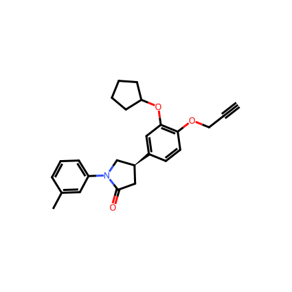 C#CCOc1ccc([C@H]2CC(=O)N(c3cccc(C)c3)C2)cc1OC1CCCC1